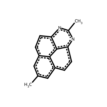 Cc1cc2ccc3nc(C)nc4ccc(c1)c2c34